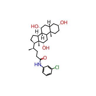 C[C@H](CCC(=O)Nc1cccc(Cl)c1)[C@H]1CC[C@H]2[C@H]3C(C[C@H](O)[C@]12C)[C@@]1(C)CC[C@@H](O)C[C@H]1C[C@H]3O